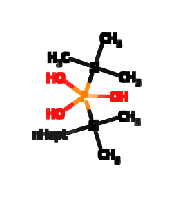 CCCCCCC[Si](C)(C)P(O)(O)(O)[Si](C)(C)C